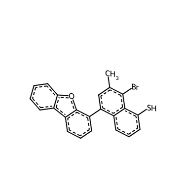 Cc1cc(-c2cccc3c2oc2ccccc23)c2cccc(S)c2c1Br